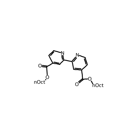 CCCCCCCCOC(=O)c1ccnc(-c2cc(C(=O)OCCCCCCCC)ccn2)c1